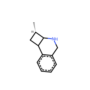 C[C@H]1CC2c3ccccc3CNC21